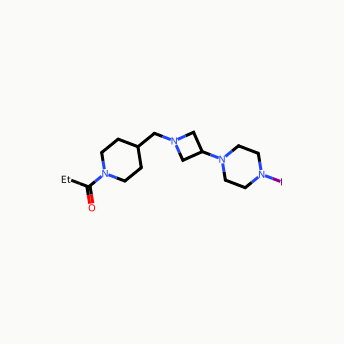 CCC(=O)N1CCC(CN2CC(N3CCN(I)CC3)C2)CC1